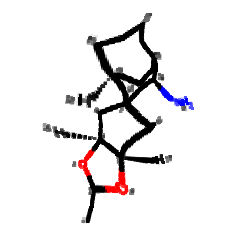 CC1O[C@H]2CC3(C[C@@H]2O1)[C@H]1CCC(C1)[C@H]3N